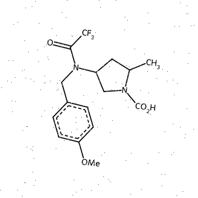 COc1ccc(CN(C(=O)C(F)(F)F)C2CC(C)N(C(=O)O)C2)cc1